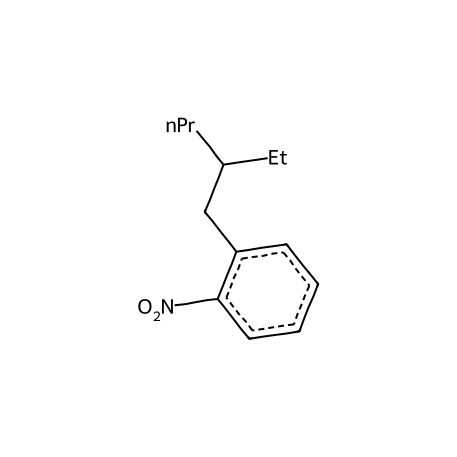 CCCC(CC)Cc1ccccc1[N+](=O)[O-]